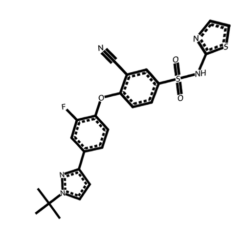 CC(C)(C)n1ccc(-c2ccc(Oc3ccc(S(=O)(=O)Nc4nccs4)cc3C#N)c(F)c2)n1